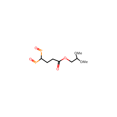 COC(COC(=O)CCC(P=O)P=O)OC